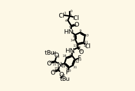 CC(Cl)(Cl)CC(=O)Nc1ccc(Cl)c(C(=O)Nc2cc(N(C(=O)OC(C)(C)C)C(=O)OC(C)(C)C)c(F)cc2F)c1